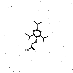 CC(C)c1cc(C(C)C)c(OCC(=O)O)c(C(C)C)c1